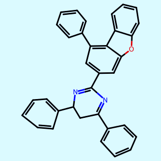 c1ccc(C2=NC(c3cc(-c4ccccc4)c4c(c3)oc3ccccc34)=NC(c3ccccc3)C2)cc1